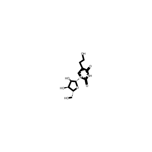 O=c1[nH]c(=O)n([C@@H]2O[C@H](CO)[C@@H](O)[C@H]2O)cc1CCO